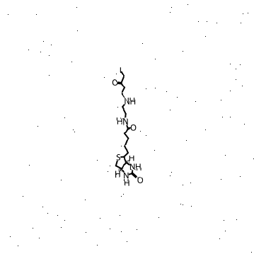 O=C(CI)CCNCCNC(=O)CCCCC1SC[C@@H]2NC(=O)N[C@H]12